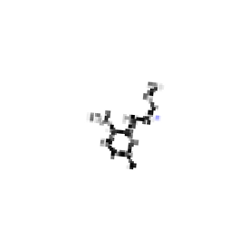 N=C/C=N\Nc1cc(F)ccc1C(=O)O